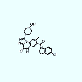 Cc1cc2c(cc1C(=O)N1CCc3cc(Cl)ccc31)[nH]c(=O)c1nnc([C@H]3CC[C@H](O)CC3)n12